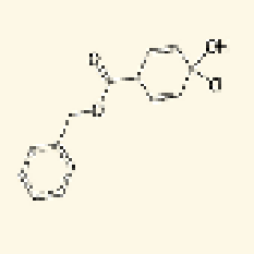 O=C(OCc1ccccc1)C1C=CC(O)(Cl)C=C1